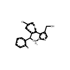 Cn1ncc(CO)c1-c1ccc(Cl)cc1C(O)c1ccccc1F